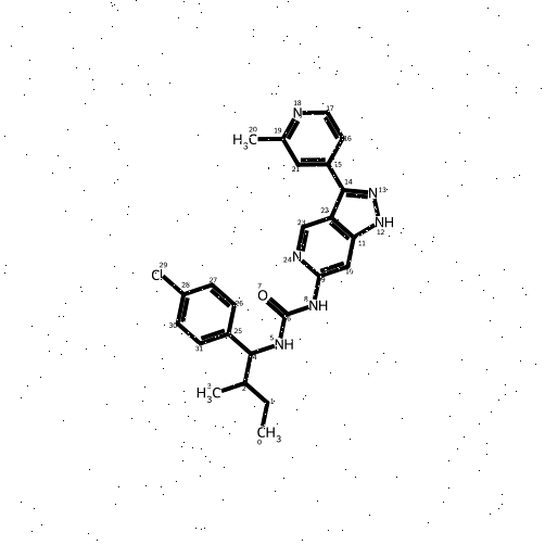 CCC(C)C(NC(=O)Nc1cc2[nH]nc(-c3ccnc(C)c3)c2cn1)c1ccc(Cl)cc1